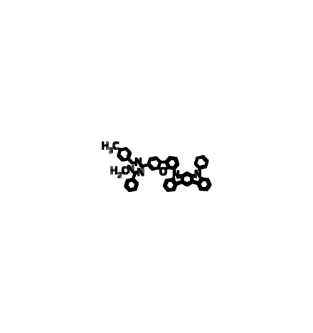 C=N/C(=N\C(=N/CC1=CCC(C)C=C1)C1=CC2Oc3c(cccc3-n3c4ccccc4c4cc5c6ccccc6n(C6=CC=CCC6)c5cc43)C2C=C1)c1ccccc1